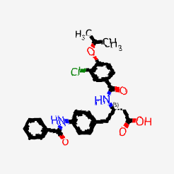 CC(C)Oc1ccc(C(=O)N[C@H](CC(=O)O)Cc2ccc(NC(=O)c3ccccc3)cc2)cc1Cl